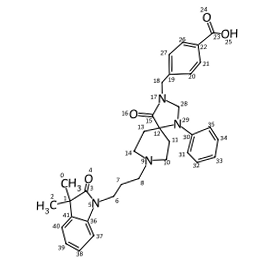 CC1(C)C(=O)N(CCCN2CCC3(CC2)C(=O)N(Cc2ccc(C(=O)O)cc2)CN3c2ccccc2)c2ccccc21